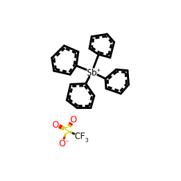 O=S(=O)([O-])C(F)(F)F.c1cc[c]([Sb+]([c]2ccccc2)([c]2ccccc2)[c]2ccccc2)cc1